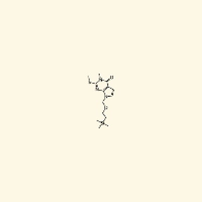 CSc1nc2c(ccn2COCC[Si](C)(C)C)c(=O)n1C